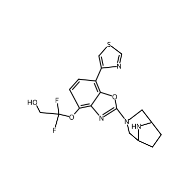 OCC(F)(F)Oc1ccc(-c2cscn2)c2oc(N3CC4CCC(C3)N4)nc12